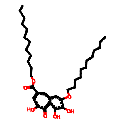 CCCCCCCCCCCCOC(=O)c1cc(O)c(=O)c2c(O)c(O)c(OCCCCCCCCCCCC)cc2c1